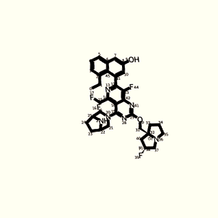 CCc1cccc2cc(O)cc(-c3nc(C(F)F)c4c(N5CC6CCC(C5)N6)nc(OC[C@@]56CCCN5C[C@H](F)C6)nc4c3F)c12